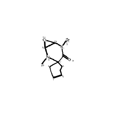 CC(C)N1C(=O)C2(CCCC2)N(C)C2OC21